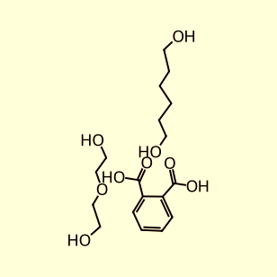 O=C(O)c1ccccc1C(=O)O.OCCCCCCO.OCCOCCO